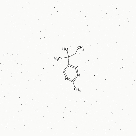 CCC(C)(O)c1cnc(C)nc1